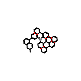 CC1C=Cc2c(cccc2-c2cccc(N(c3cc(-c4ccccc4)ccc3-c3ccccc3)c3ccccc3-c3cccc4cccc(-c5ccccc5)c34)c2)C1